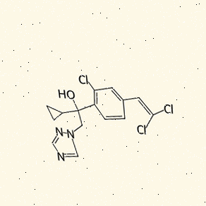 OC(Cn1cncn1)(c1ccc(C=C(Cl)Cl)cc1Cl)C1CC1